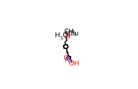 CC(C)(C)[Si](C)(C)OCCCc1ccc(C#Cc2cc(CO)no2)cc1